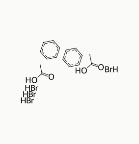 Br.Br.Br.Br.CC(=O)O.CC(=O)O.c1ccccc1.c1ccccc1